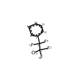 FC(F)(Cl)C(F)(F)c1ccccc1